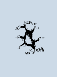 CNC(=O)c1c(F)c(F)c(B(O)O)c(F)c1F